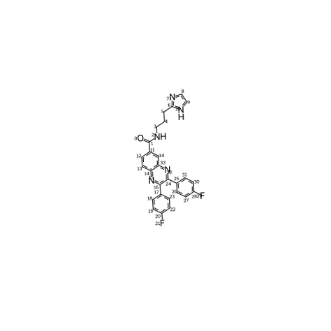 O=C(NCCCc1ncc[nH]1)c1ccc2nc(-c3ccc(F)cc3)c(-c3ccc(F)cc3)nc2c1